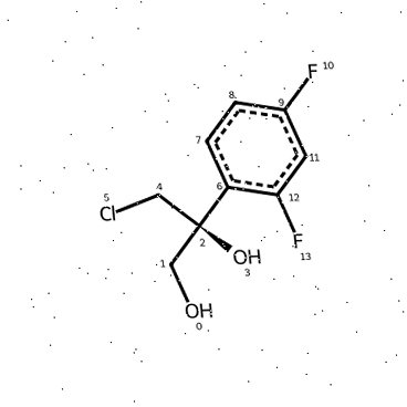 OC[C@](O)(CCl)c1ccc(F)cc1F